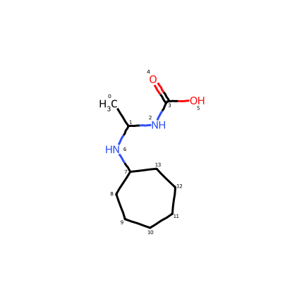 CC(NC(=O)O)NC1CCCCCC1